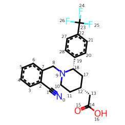 N#Cc1ccccc1CN1CC[C@@H](CC(=O)O)C[C@H]1c1ccc(C(F)(F)F)cc1